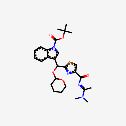 C/C(=N\C(=O)c1csc(C(OC2CCCCO2)c2cn(C(=O)OC(C)(C)C)c3ccccc23)n1)N(C)C